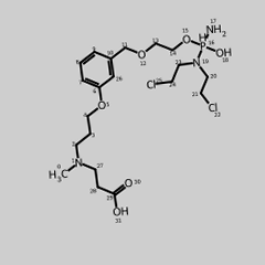 CN(CCCOc1cccc(COCCO[PH](N)(O)N(CCCl)CCCl)c1)CCC(=O)O